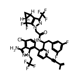 C=C(C)C#Cc1ccc(-c2ccc(Cl)c3c(N)nn(CC(F)(F)F)c23)c(C(Cc2cc(F)cc(F)c2)NC(=O)Cn2nc(C(F)(F)F)c3c2C(F)(F)[C@@H]2C[C@H]32)n1